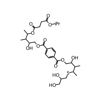 CC(C)OC(=O)CCC(=O)OC(C)C(C)C(O)COC(=O)c1ccc(C(=O)OCC(O)C(C)C(C)SCC(O)CO)cc1